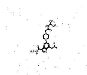 CNC(=O)c1csc2c(CC(F)F)cc(N3CCN(CC(=O)NC(C)C)CC3)nc12